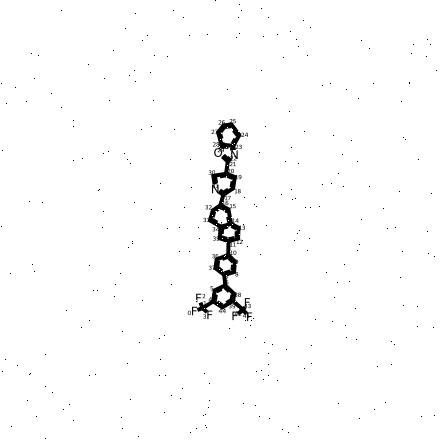 FC(F)(F)c1cc(-c2ccc(-c3ccc4cc(-c5ccc(-c6nc7ccccc7o6)cn5)ccc4c3)cc2)cc(C(F)(F)F)c1